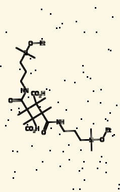 CCO[Si](C)(C)CCCNC(=O)C1(C)C(C)(C(=O)O)C(C)(C(=O)NCCC[Si](C)(C)OCC)C1(C)C(=O)O